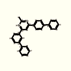 Cc1nc(-c2ccc(-c3ccccc3)cc2)cc(-c2cccc(-c3ccccc3)c2)n1